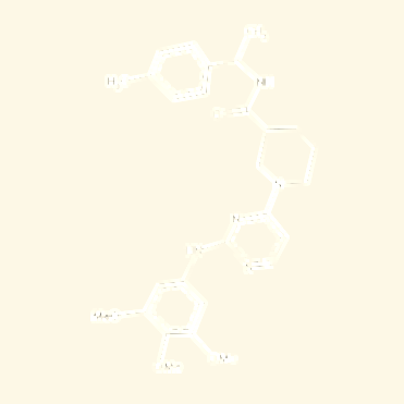 COc1cc(Nc2nccc(N3CCCC(C(=O)NC(C)c4ccc(C)cc4)C3)n2)cc(OC)c1OC